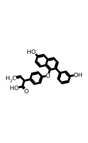 C=CC(C(=O)O)c1ccc(Oc2c(-c3cccc(O)c3)ccc3cc(O)ccc23)cc1